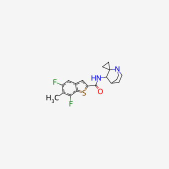 Cc1c(F)cc2cc(C(=O)NC3C4CCN(CC4)C34CC4)sc2c1F